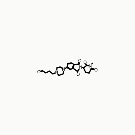 CN1C(=O)CCC(N2C(=O)c3ccc(N4CCN(CCCC=O)CC4)cc3C2=O)C1=O